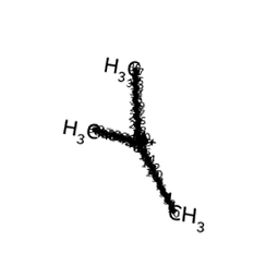 CCCCCCCCCCCCCCCCCC[n+]1ccn(CCCCCCCCCCCCCCCCC)c1CCCCCCCCCCC